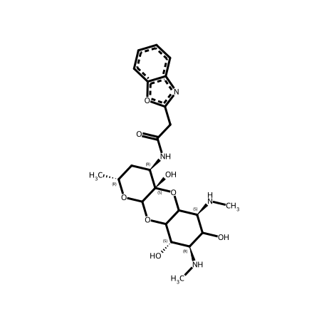 CN[C@@H]1C2O[C@]3(O)C(OC2[C@@H](O)[C@H](NC)C1O)O[C@H](C)C[C@H]3NC(=O)Cc1nc2ccccc2o1